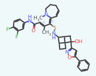 CC(=C\C(=O)Nc1ccc(F)c(F)c1)/C(SNC1C2CCC23C1CC3(O)c1cc(-c2ccccc2)on1)=C1/C=CCCCN1C